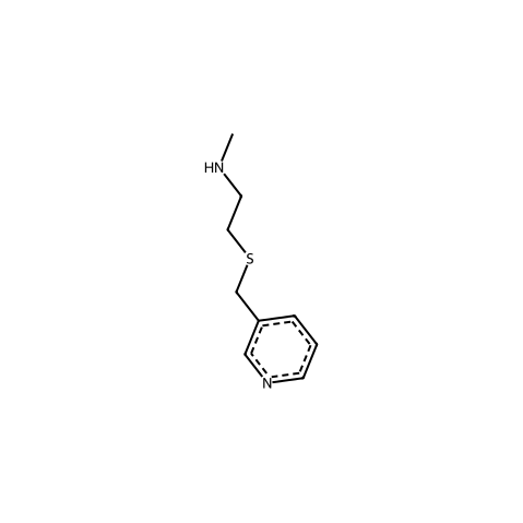 CNCCSCc1cccnc1